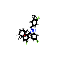 Fc1ccc([C@](Cc2ccccc2)(NCc2ccc(F)c(C(F)(F)F)c2)c2cc(F)cc(C(F)(F)F)c2)cc1